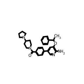 CC(Oc1cc(-c2ccc(C(=O)N3CCC(N4CCCC4)CC3)cc2)cnc1N)c1ccccc1